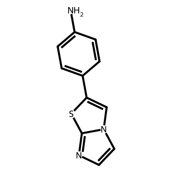 Nc1ccc(-c2cn3ccnc3s2)cc1